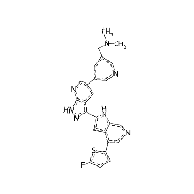 CN(C)Cc1cncc(-c2cnc3[nH]nc(-c4cc5c(-c6ccc(F)s6)cncc5[nH]4)c3c2)c1